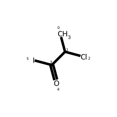 CC(Cl)C(=O)I